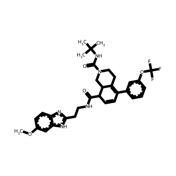 COc1ccc2nc(CCNC(=O)C3C=CC(c4cccc(OC(F)(F)F)c4)=C4CCN(C(=O)NC(C)(C)C)CC43)[nH]c2c1